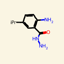 CC(C)c1ccc(N)c(C(=O)NN)c1